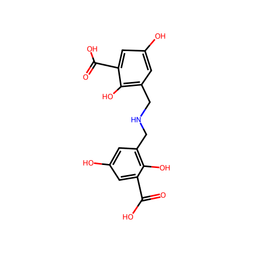 O=C(O)c1cc(O)cc(CNCc2cc(O)cc(C(=O)O)c2O)c1O